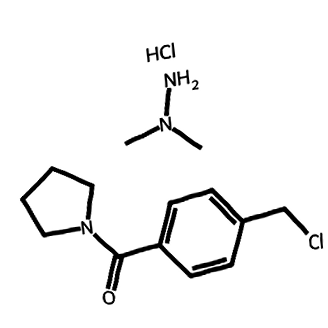 CN(C)N.Cl.O=C(c1ccc(CCl)cc1)N1CCCC1